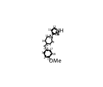 COc1ccc(SC2CCN(c3cc[nH]n3)CC2)cc1